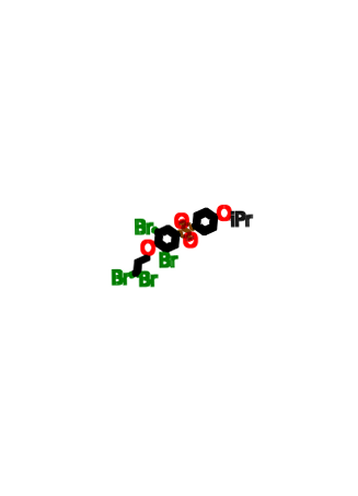 CC(C)Oc1ccc(S(=O)(=O)c2cc(Br)c(OCC=C(Br)Br)c(Br)c2)cc1